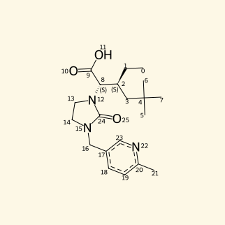 CC[C@@H](CC(C)(C)C)[C@@H](C(=O)O)N1CCN(Cc2ccc(C)nc2)C1=O